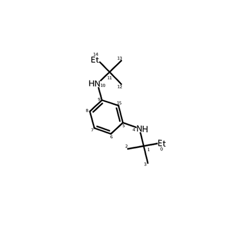 CCC(C)(C)Nc1cccc(NC(C)(C)CC)c1